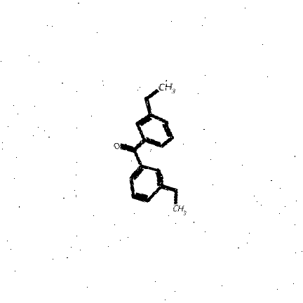 CCc1cccc(C(=O)c2cccc(CC)c2)c1